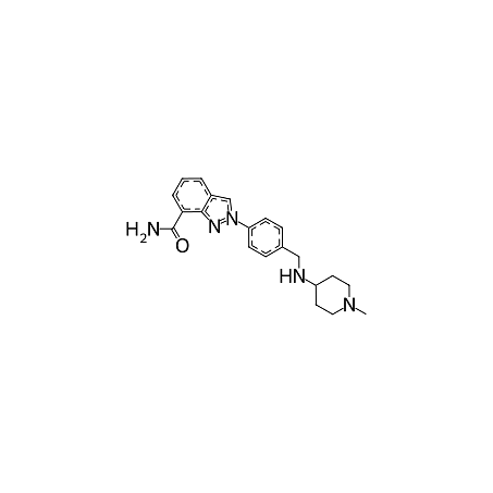 CN1CCC(NCc2ccc(-n3cc4cccc(C(N)=O)c4n3)cc2)CC1